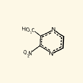 O=C(O)c1nccnc1[N+](=O)[O-]